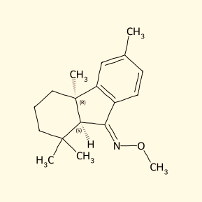 CON=C1c2ccc(C)cc2[C@]2(C)CCCC(C)(C)[C@H]12